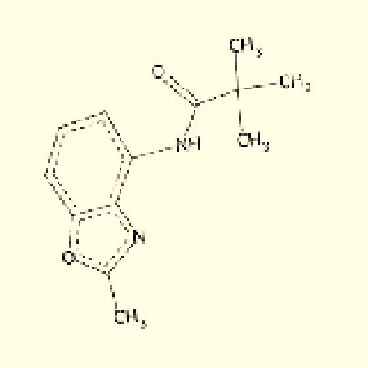 Cc1nc2c(NC(=O)C(C)(C)C)cccc2o1